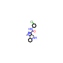 Cn1nc(C(=O)Nc2cccc(Cl)c2)c2c1-c1ccccc1NC2